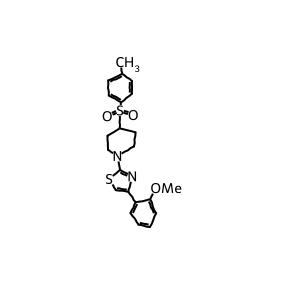 COc1ccccc1-c1csc(N2CCC(S(=O)(=O)c3ccc(C)cc3)CC2)n1